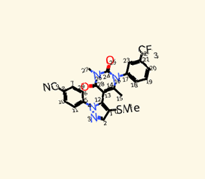 CSc1cnn(-c2ccc(C#N)cc2)c1-c1c(C)n(-c2cccc(C(F)(F)F)c2)c(=O)n(C)c1=O